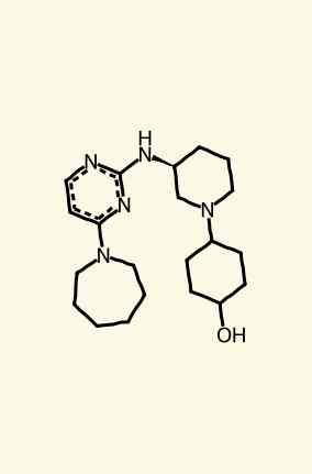 OC1CCC(N2CCC[C@H](Nc3nccc(N4CCCCCC4)n3)C2)CC1